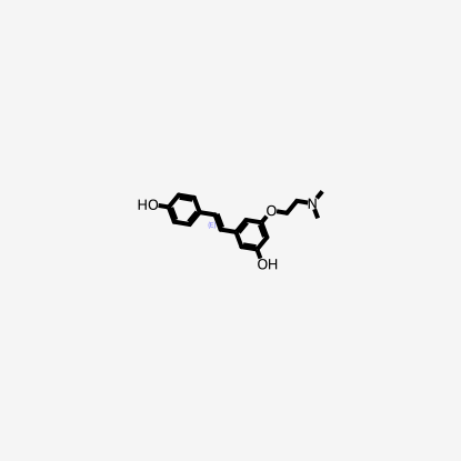 CN(C)CCOc1cc(O)cc(/C=C/c2ccc(O)cc2)c1